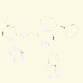 O=C(Nc1ccc2[nH]ncc2c1)[C@@H]1[C@H](c2ccccc2)CCCN1C(=O)/C=C/c1cc(Cl)ccc1-n1cnnn1